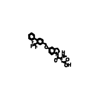 CN[C@H](CC(=O)O)C(=O)N1CCc2cc(OCc3ccc(-c4ccccc4)c(C(F)(F)F)c3)ccc21